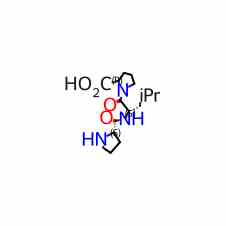 CC(C)C[C@H](NC(=O)[C@@H]1CCCN1)C(=O)N1CCC[C@@H]1C(=O)O